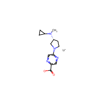 CN(C1CC1)[C@@H]1CCN(c2cnc(C(=O)[O-])cn2)C1.[Li+]